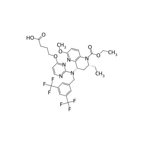 CCOC(=O)N1c2ccc(OC)nc2[C@@H](N(Cc2cc(C(F)(F)F)cc(C(F)(F)F)c2)c2nccc(OCCCC(=O)O)n2)C[C@H]1CC